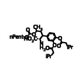 CCCCCOC(=O)OC(C)CC(c1ccc(OC(=O)CC(C)C)c(OC(=O)CC(C)C)c1)[C@H](N)C(=O)O